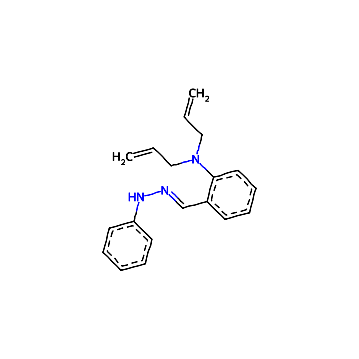 C=CCN(CC=C)c1ccccc1C=NNc1ccccc1